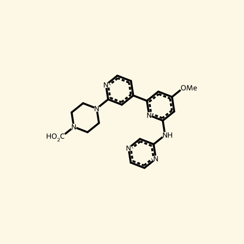 COc1cc(Nc2cnccn2)nc(-c2ccnc(N3CCN(C(=O)O)CC3)c2)c1